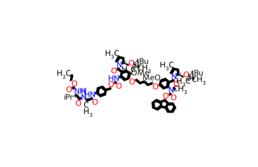 C=CCOC(=O)N[C@H](C(=O)N[C@@H](C)C(=O)Nc1ccc(COC(=O)Nc2cc(OCCCCCOc3cc(N(C)C(=O)OC4c5ccccc5-c5ccccc54)c(C(=O)N4C=C(C)C[C@H]4CO[Si](C)(C)C(C)(C)C)cc3OC)c(OC)cc2C(=O)N2C=C(C)C[C@H]2CO[Si](C)(C)C(C)(C)C)cc1)C(C)C